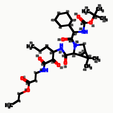 CCCOC(=O)CCNC(=O)C(=O)C(CCC)NC(=O)C1C2C(CN1C(=O)C(NC(=O)OC(C)(C)C)C1CCCCC1)C2(C)C